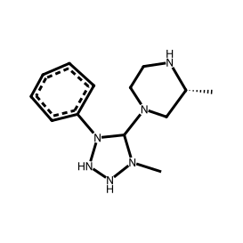 C[C@@H]1CN(C2N(C)NNN2c2ccccc2)CCN1